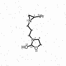 CC(C)C1CN1CCCN1CCOC1O